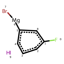 Fc1ccc[c]([Mg][Br])c1.I